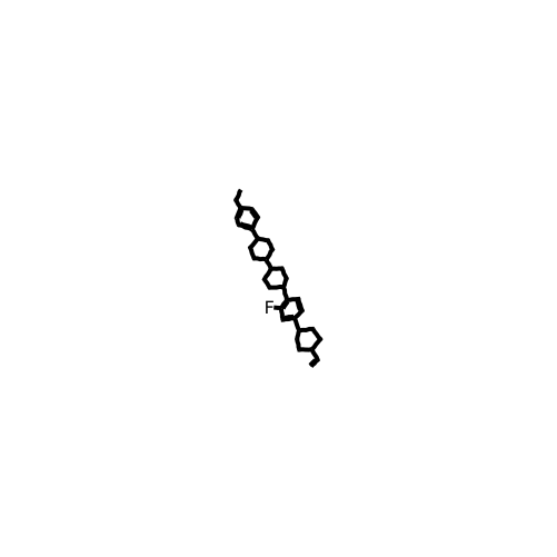 C=CC1CCC(c2ccc(C3CCC(C4CCC(c5ccc(CC)cc5)CC4)CC3)c(F)c2)CC1